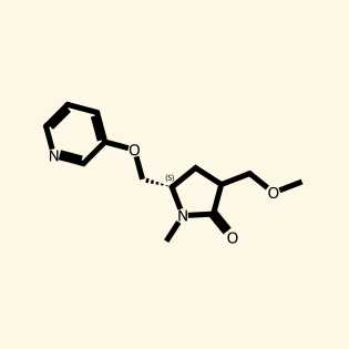 COCC1C[C@@H](COc2cccnc2)N(C)C1=O